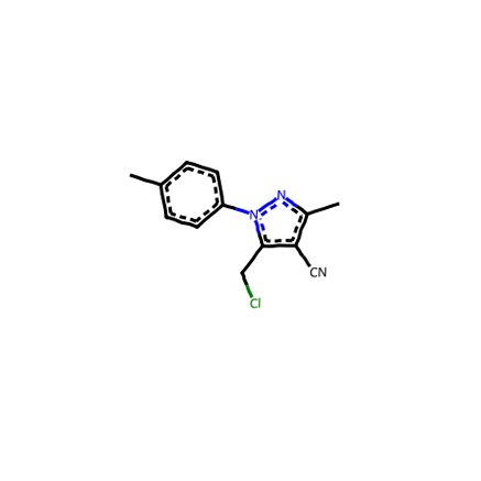 Cc1ccc(-n2nc(C)c(C#N)c2CCl)cc1